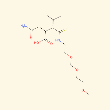 COCCOCOCCNC(=S)[C@@H](C(C)C)C(CC(N)=O)C(=O)O